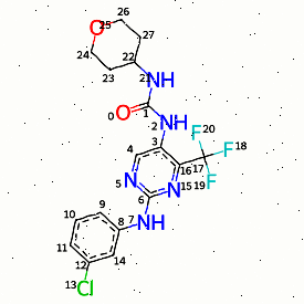 O=C(Nc1cnc(Nc2cccc(Cl)c2)nc1C(F)(F)F)NC1CCOCC1